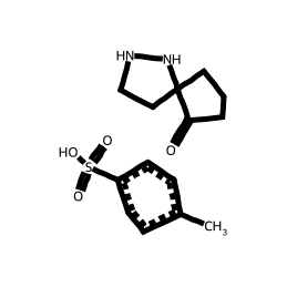 Cc1ccc(S(=O)(=O)O)cc1.O=C1CCCC12CCNN2